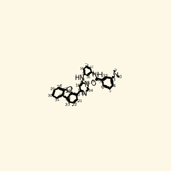 CN(C)c1cccc(C(=O)Nc2cccc(Nc3cc(-c4cccc5c4oc4ccccc45)ncn3)c2)c1